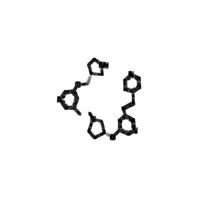 CN1CC[C@@H](Oc2cncc(C=Cc3ccncc3)c2)C1.Cc1cncc(OC[C@@H]2CCNC2)c1